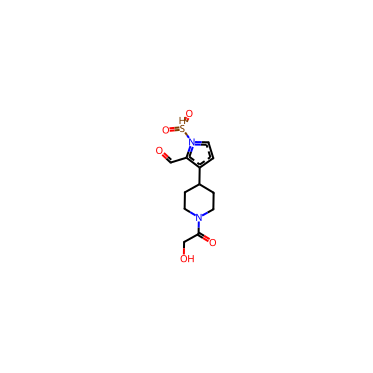 O=Cc1c(C2CCN(C(=O)CO)CC2)ccn1[SH](=O)=O